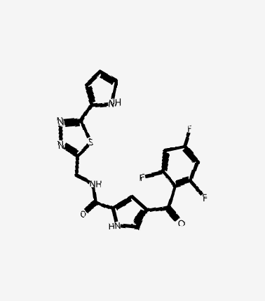 O=C(NCc1nnc(-c2ccc[nH]2)s1)c1cc(C(=O)c2c(F)cc(F)cc2F)c[nH]1